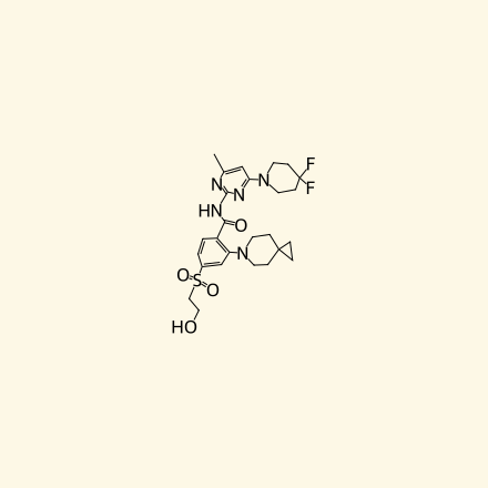 Cc1cc(N2CCC(F)(F)CC2)nc(NC(=O)c2ccc(S(=O)(=O)CCO)cc2N2CCC3(CC2)CC3)n1